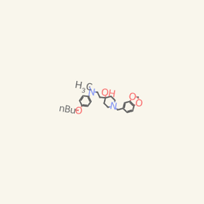 CCCCOc1ccc(N(C)CCC2(O)CCN(Cc3ccc4c(c3)OCO4)CC2)cc1